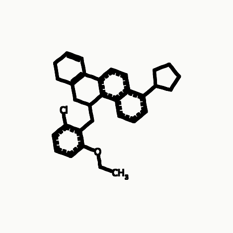 CCOc1cccc(Cl)c1CC1CC2=C(C=CCC2)c2ccc3c(C4CCCC4)cccc3c21